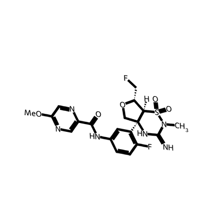 COc1cnc(C(=O)Nc2ccc(F)c([C@]34CO[C@H](CF)[C@H]3S(=O)(=O)N(C)C(=N)N4)c2)cn1